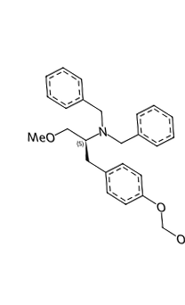 COCOc1ccc(C[C@@H](COC)N(Cc2ccccc2)Cc2ccccc2)cc1